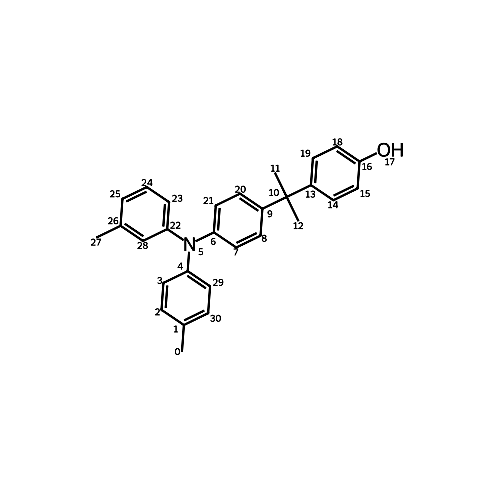 Cc1ccc(N(c2ccc(C(C)(C)c3ccc(O)cc3)cc2)c2cccc(C)c2)cc1